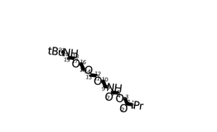 CC(C)C(=O)COCC(=O)NCCOCCOCCOCCNC(C)(C)C